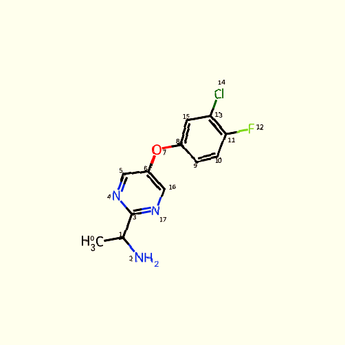 CC(N)c1ncc(Oc2ccc(F)c(Cl)c2)cn1